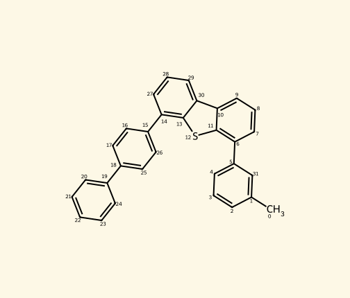 Cc1cccc(-c2cccc3c2sc2c(-c4ccc(-c5ccccc5)cc4)cccc23)c1